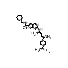 CC(C)N1CCN(/C(N)=C/C=C(\N)Nc2ncc3cc(C(=O)NCN4CCCCC4)[nH]c3n2)CC1